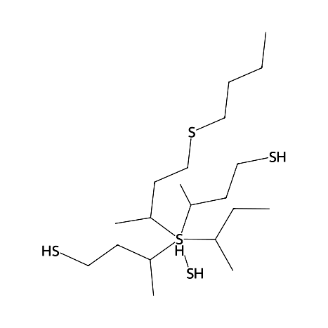 CCCCSCCC(C)[SH](S)(C(C)CC)(C(C)CCS)C(C)CCS